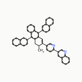 CC1Cc2c(c(-c3ccc4ccccc4c3)c3ccccc3c2-c2ccc3ccccc3c2)C=C1c1ccc(-c2cnc3ccccc3c2)nc1